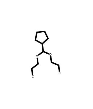 ClCCOC(OCCCl)C1CCCC1